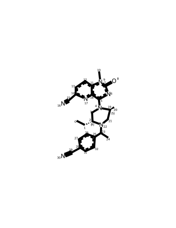 CC[C@@H]1CN(c2nc(=O)n(C)c3ccc(C#N)nc23)[C@@H](C)CN1C(C)c1ccc(C#N)cc1